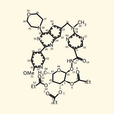 CCC(=O)O[C@H]1[C@H](OC(=O)CC)[C@H](ONC(=O)c2cnc(N(C)Cc3cc4nc(-c5ccc(OC)nc5)nc(N5CCOCC5)c4s3)nc2)O[C@@H](C)[C@H]1OC(=O)CC